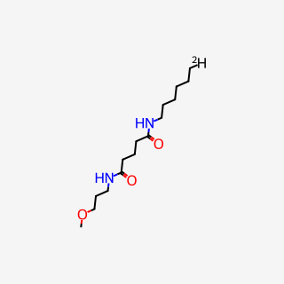 [2H]CCCCCCNC(=O)CCCC(=O)NCCCOC